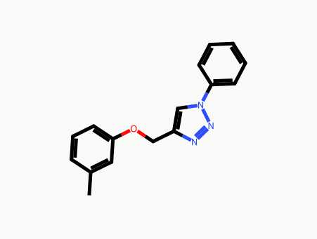 Cc1cccc(OCc2cn(-c3ccccc3)nn2)c1